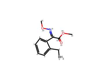 BCc1ccccc1/C(=N\OC)C(=O)OC